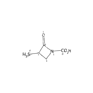 O=C(O)N1CC([SiH3])C1=O